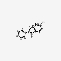 Fc1ccc2[nH]c(-c3ccccc3)nc2n1